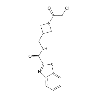 O=C(NCC1CN(C(=O)CCl)C1)c1nc2ccccc2s1